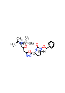 C=C(C)NCC(Cc1nnc([C@@H]2CC[C@@H]3CN2C(=O)N3OCc2ccccc2)o1)O[Si](C)(C)C(C)(C)C